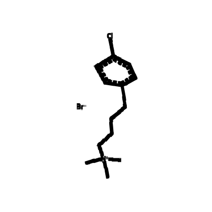 C[N+](C)(C)CCCCc1ccc(Cl)cc1.[Br-]